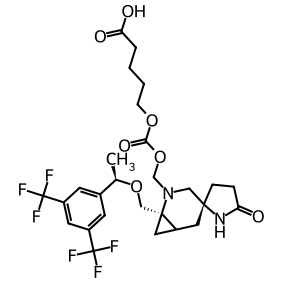 C[C@@H](OC[C@@]12CC1C[C@]1(CCC(=O)N1)CN2COC(=O)OCCCCC(=O)O)c1cc(C(F)(F)F)cc(C(F)(F)F)c1